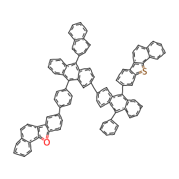 c1ccc(-c2c3ccccc3c(-c3ccc4c(c3)sc3c5ccccc5ccc43)c3cc(-c4ccc5c(-c6ccc7ccccc7c6)c6ccccc6c(-c6ccc(-c7ccc8oc9c%10ccccc%10ccc9c8c7)cc6)c5c4)ccc23)cc1